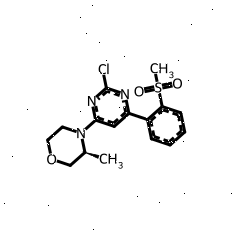 C[C@H]1COCCN1c1cc(-c2ccccc2S(C)(=O)=O)nc(Cl)n1